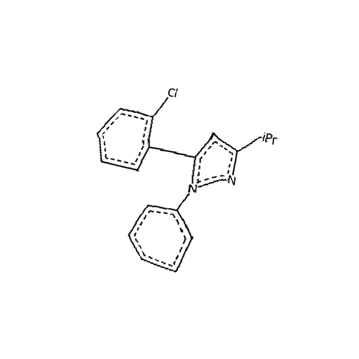 CC(C)c1cc(-c2ccccc2Cl)n(-c2ccccc2)n1